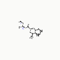 C=C(/C=C(F)\C=C/C)c1cc(OC)c2ncncc2c1